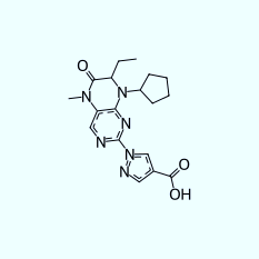 CCC1C(=O)N(C)c2cnc(-n3cc(C(=O)O)cn3)nc2N1C1CCCC1